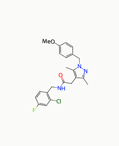 COc1ccc(Cn2nc(C)c(CC(=O)NCc3ccc(F)cc3Cl)c2C)cc1